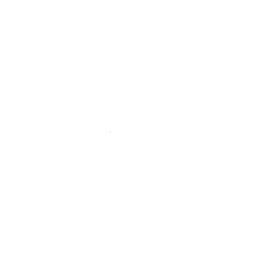 Brc1cccc2ccccc12.c1ccc2c(c1)ccc1c3c(ccc12)CCCC3